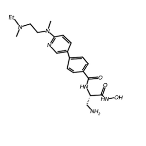 CCN(C)CCN(C)c1ccc(-c2ccc(C(=O)N[C@@H](CN)C(=O)NO)cc2)cn1